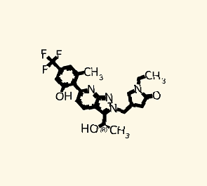 CCN1CC(Cn2nc3nc(-c4c(C)cc(C(F)(F)F)cc4O)ccc3c2[C@@H](C)O)CC1=O